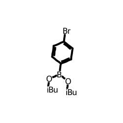 CCC(C)OB(OC(C)CC)c1ccc(Br)cc1